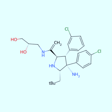 C=C(NC[C@H](O)CO)[C@@H]1N[C@@H](CC(C)(C)C)[C@](N)(c2ccc(Cl)cc2)[C@H]1c1cccc(Cl)c1